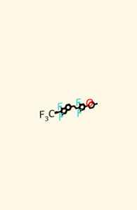 CC1CCC(c2cc(F)c(CCc3ccc4c(F)c(C#CC(F)(F)F)c(F)cc4c3)c(F)c2)OC1